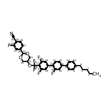 CCCCCc1ccc(-c2ccc(-c3cc(F)c(C(F)(F)OC4COC(c5ccc(C#N)c(F)c5)OC4)c(F)c3)c(F)c2)cc1